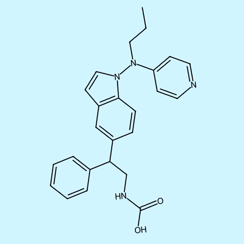 CCCN(c1ccncc1)n1ccc2cc(C(CNC(=O)O)c3ccccc3)ccc21